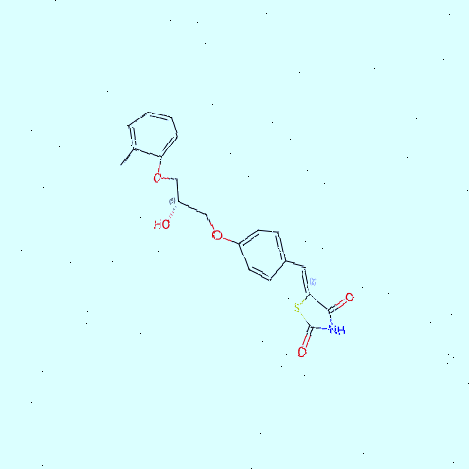 Cc1ccccc1OC[C@@H](O)COc1ccc(/C=C2\SC(=O)NC2=O)cc1